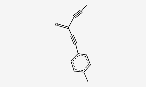 CC#CC(=O)C#Cc1ccc(C)cc1